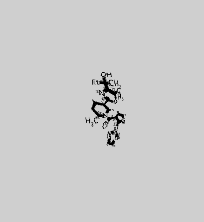 CCC(C)(O)c1nc([C@@H]2CC[C@@H](C)N(C(=O)c3ccsc3-n3nccn3)C2)oc1C